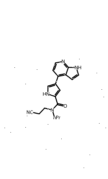 CCCN(CCC#N)C(=O)c1cc(-c2ccnc3[nH]ccc23)c[nH]1